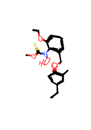 CCOc1cccc(COc2ccc(CC)cc2C)c1N(O)C(=S)OC